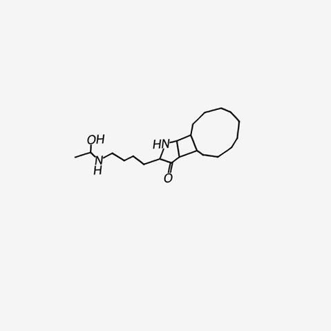 CC(O)NCCCCC1NC2C3CCCCCCCCCC3C2C1=O